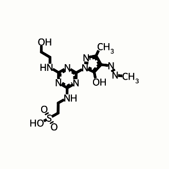 CN=Nc1c(C)nn(-c2nc(NCCO)nc(NCCS(=O)(=O)O)n2)c1O